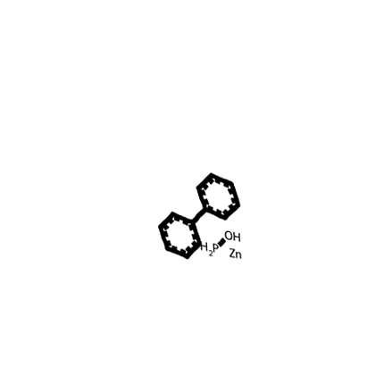 OP.[Zn].c1ccc(-c2ccccc2)cc1